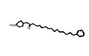 O=C(CCCCCCCCCCCCCCc1ccccc1)CC1CCC(O)CC1